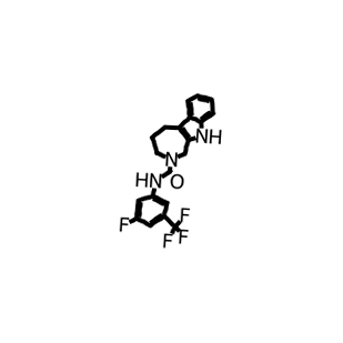 O=C(Nc1cc(F)cc(C(F)(F)F)c1)N1CCCc2c([nH]c3ccccc23)C1